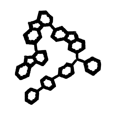 c1ccc(-c2ccc(-c3ccc(N(c4ccccc4)c4ccc5oc6cc(-c7cccc8oc9ccc(-c%10cccc%11c%10oc%10ccccc%10%11)cc9c78)ccc6c5c4)cc3)cc2)cc1